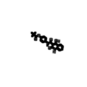 CN(C(=O)c1c(O)c2ccccc2[nH]c1=O)c1ccc(OC(=O)C(C)(C)C)cc1